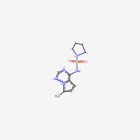 Cc1ccc2c(NS(=O)(=O)N3CCCC3)ncnn12